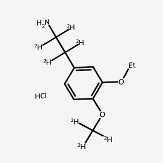 Cl.[2H]C([2H])([2H])Oc1ccc(C([2H])([2H])C([2H])([2H])N)cc1OCC